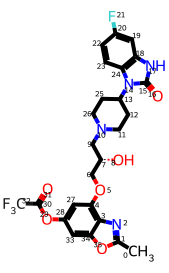 Cc1nc2c(OC[C@@H](O)CN3CCC(n4c(=O)[nH]c5cc(F)ccc54)CC3)cc(OC(=O)C(F)(F)F)cc2o1